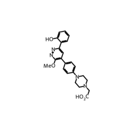 COc1nnc(-c2ccccc2O)cc1-c1ccc(N2CCN(CC(=O)O)CC2)cc1